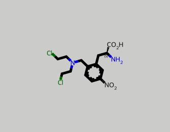 N[C@@H](Cc1cc([N+](=O)[O-])ccc1CN(CCCl)CCCl)C(=O)O